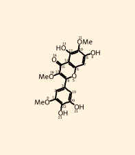 COc1cc(-c2oc3cc(O)c(OC)c(O)c3c(=O)c2OC)cc(O)c1O